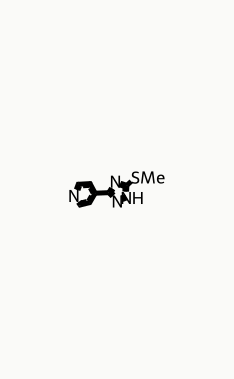 CSc1nc(-c2ccncc2)n[nH]1